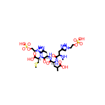 CNC(Cc1cn(CCOS(=O)(=O)O)nn1)C(=O)N[C@@H](CC(C)C(=O)O)C(=O)N[C@@H](Cc1cn(CCOS(=O)(=O)O)nn1)C(=O)N[C@@H](CSC)C(=O)O